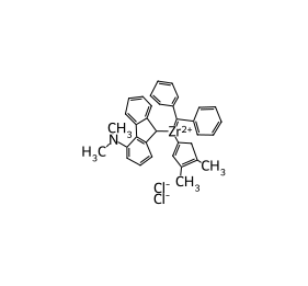 CC1=C(C)C[C]([Zr+2](=[C](c2ccccc2)c2ccccc2)[CH]2c3ccccc3-c3c2cccc3N(C)C)=C1.[Cl-].[Cl-]